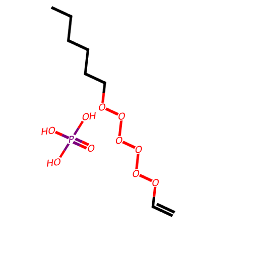 C=COOOOOOCCCCCC.O=P(O)(O)O